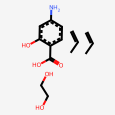 C=CC.C=CC.Nc1ccc(C(=O)O)c(O)c1.OCCO